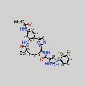 CC[C@@H]1CCC[C@H](NC(=O)C2=CN(c3cccc(Cl)c3F)NN2)c2nc(c[nH]2)-c2ccc(NC(=O)OC)cc2NC1=O